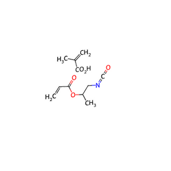 C=C(C)C(=O)O.C=CC(=O)OC(C)CN=C=O